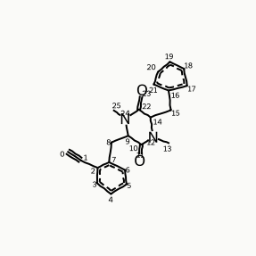 C#Cc1ccccc1CC1C(=O)N(C)C(Cc2ccccc2)C(=O)N1C